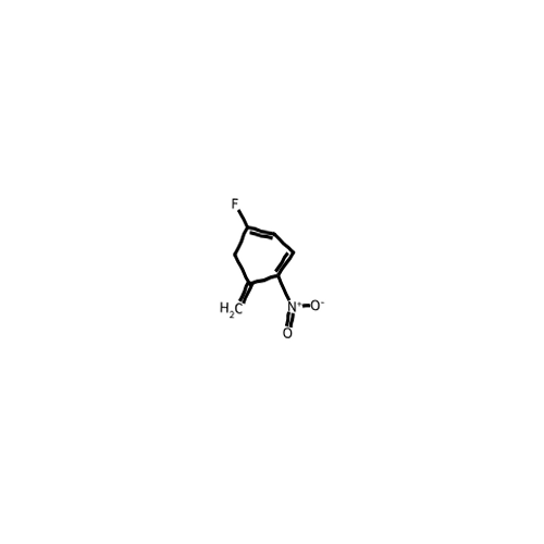 C=C1CC(F)=CC=C1[N+](=O)[O-]